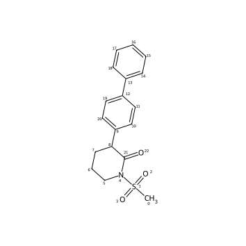 CS(=O)(=O)N1CCCC(c2ccc(-c3ccccc3)cc2)C1=O